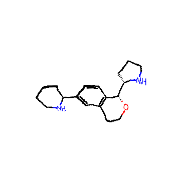 c1cc2c(cc1C1CCCCN1)CCO[C@H]2[C@@H]1CCCN1